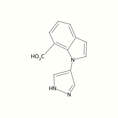 O=C(O)c1cccc2ccn(-c3cn[nH]c3)c12